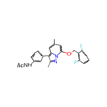 CC(=O)Nc1cccc(-c2c(C)nn3c(OCc4c(F)cccc4F)cc(C)cc23)c1